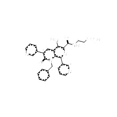 O=C(O)CCNC(=O)c1nc(-c2cccnc2)c2c(cc(-c3cccnc3)c(=O)n2Cc2ccccc2)c1O